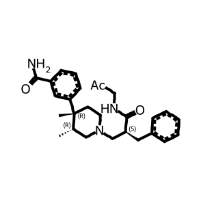 CC(=O)CNC(=O)[C@@H](Cc1ccccc1)CN1CC[C@@](C)(c2cccc(C(N)=O)c2)[C@@H](C)C1